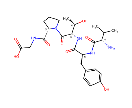 CC(C)[C@H](N)C(=O)N[C@@H](Cc1ccc(O)cc1)C(=O)N[C@H](C(=O)N1CCC[C@H]1C(=O)NCC(=O)O)[C@@H](C)O